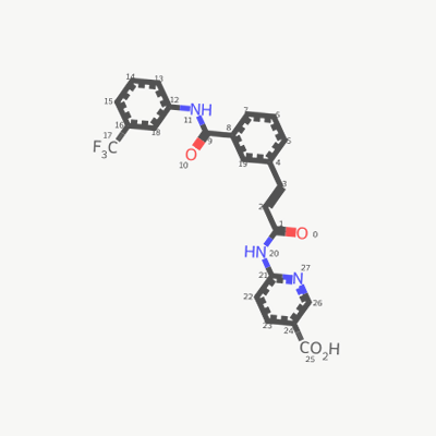 O=C(/C=C/c1cccc(C(=O)Nc2cccc(C(F)(F)F)c2)c1)Nc1ccc(C(=O)O)cn1